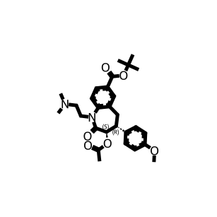 COc1ccc([C@H]2Cc3cc(C(=O)OC(C)(C)C)ccc3N(CCN(C)C)C(=O)[C@H]2OC(C)=O)cc1